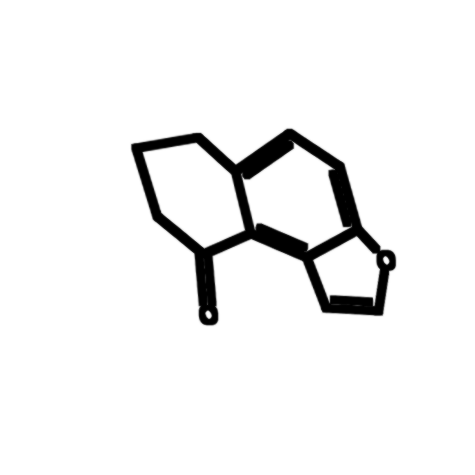 O=C1CCCc2ccc3occc3c21